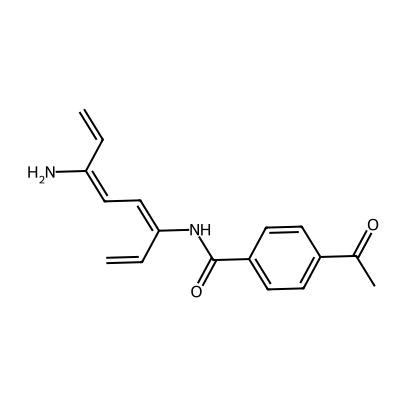 C=C/C(N)=C\C=C(/C=C)NC(=O)c1ccc(C(C)=O)cc1